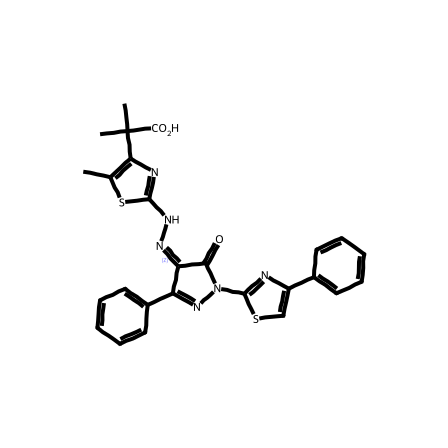 Cc1sc(N/N=C2\C(=O)N(c3nc(-c4ccccc4)cs3)N=C2c2ccccc2)nc1C(C)(C)C(=O)O